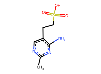 Cc1ncc(CCS(=O)(=O)O)c(N)n1